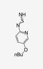 CCCCOc1ccc(N=S=N)nc1